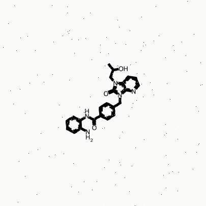 CC(O)Cn1c(=O)n(Cc2ccc(C(=O)Nc3ccccc3N)cc2)c2ncccc21